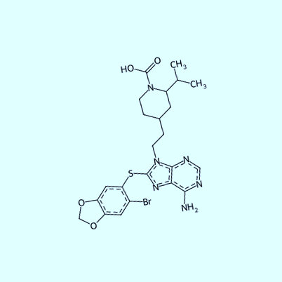 CC(C)C1CC(CCn2c(Sc3cc4c(cc3Br)OCO4)nc3c(N)ncnc32)CCN1C(=O)O